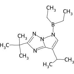 CCB(CC)n1cc(C(C)C)c2nc(C(C)(C)C)nn21